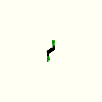 F/C=C/F